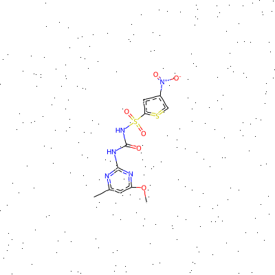 COc1cc(C)nc(NC(=O)NS(=O)(=O)c2cc([N+](=O)[O-])cs2)n1